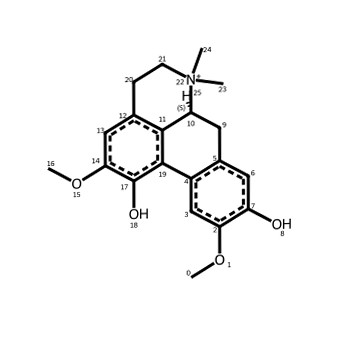 COc1cc2c(cc1O)C[C@H]1c3c(cc(OC)c(O)c3-2)CC[N+]1(C)C